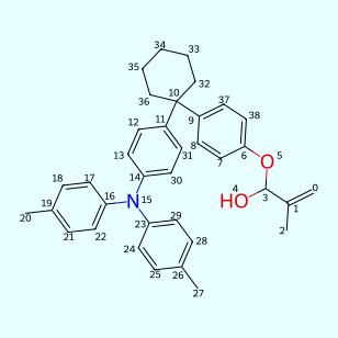 C=C(C)C(O)Oc1ccc(C2(c3ccc(N(c4ccc(C)cc4)c4ccc(C)cc4)cc3)CCCCC2)cc1